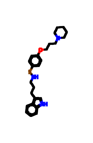 c1ccc2c(CCCNSc3ccc(OCCCN4CCCCC4)cc3)c[nH]c2c1